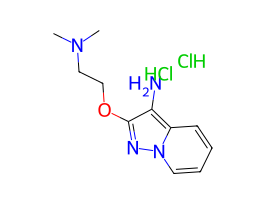 CN(C)CCOc1nn2ccccc2c1N.Cl.Cl